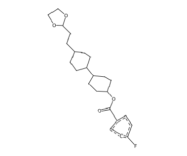 O=C(OC1CCC(C2CCC(CCC3OCCO3)CC2)CC1)c1ccc(F)cc1